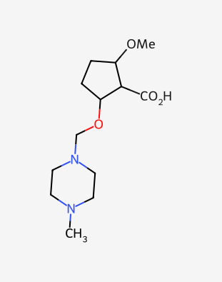 COC1CCC(OCN2CCN(C)CC2)C1C(=O)O